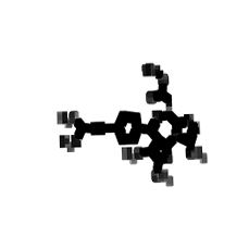 Cc1sc2c(c1C)C(c1ccc(C#CC(C)N)cc1)=N[C@H](CC(=O)OC(C)(C)C)c1nnc(C)n1-2